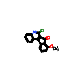 COc1cccc2c1C(=O)c1c(Cl)nc3ccccc3c1-2